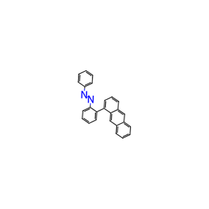 c1ccc(N=Nc2ccccc2-c2cccc3cc4ccccc4cc23)cc1